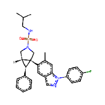 Cc1cc2c(cnn2-c2ccc(F)cc2)cc1[C@]12CN(S(=O)(=O)NCC(C)C)C[C@H]1[C@@H]2c1ccccc1